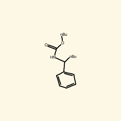 CCCCOC(=O)N[C](CCCC)c1ccccc1